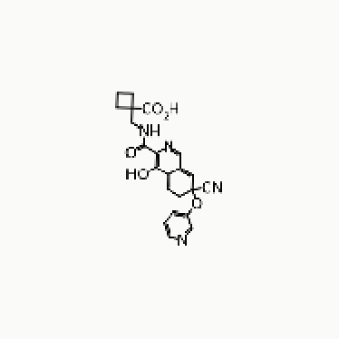 N#CC1(Oc2cccnc2)C=c2cnc(C(=O)NCC3(C(=O)O)CCC3)c(O)c2=CC1